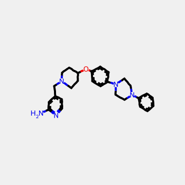 Nc1cc(CN2CCC(Oc3ccc(N4CCN(c5ccccc5)CC4)cc3)CC2)ccn1